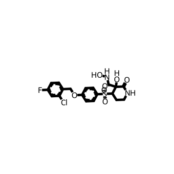 O=C(NO)C1(O)C(=O)NCCC1S(=O)(=O)c1ccc(OCc2ccc(F)cc2Cl)cc1